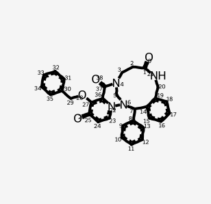 O=C1CCN2CN(C(c3ccccc3)c3ccccc3CN1)n1ccc(=O)c(OCc3ccccc3)c1C2=O